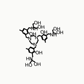 Cc1cc(CNC(CO)CO)c(O)c(CN2CCN(Cc3cc(C)cc(CNC(CO)CO)c3O)CCN(Cc3cc(C)cc(CNC(CO)CO)c3O)CC2)c1